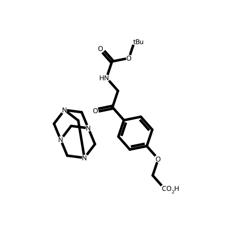 C1N2CN3CN1CN(C2)C3.CC(C)(C)OC(=O)NCC(=O)c1ccc(OCC(=O)O)cc1